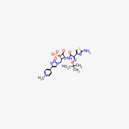 C[n+]1ccc(-c2cn(CC3[C@H](NC(=O)C(=NOC(C)(C)C(=O)O)c4csc(N)n4)C(=O)N3S(=O)(=O)[O-])nn2)cc1